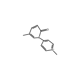 Cc1ccc(=O)n(-c2cc[n+](C)cc2)c1